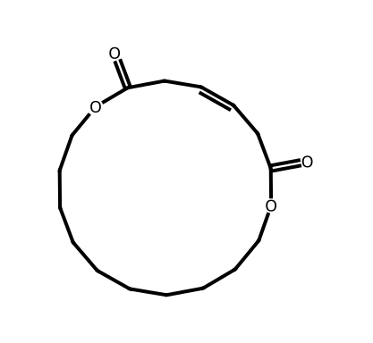 O=C1CC=CCC(=O)OCCCCCCCCCCO1